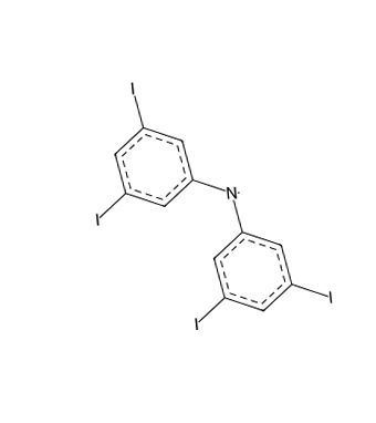 Ic1cc(I)cc([N]c2cc(I)cc(I)c2)c1